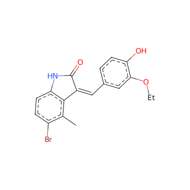 CCOc1cc(C=C2C(=O)Nc3ccc(Br)c(C)c32)ccc1O